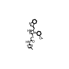 COc1cccc(N2C(SCC(=O)Nc3nc(C)cs3)=NNC2C=C2C=Nc3ccccc32)c1